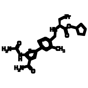 Cc1cc(-c2cc(C(N)=O)c(NC(N)=O)s2)ccc1CN[C@@H](CC(C)C)C(=O)OC1CCCC1